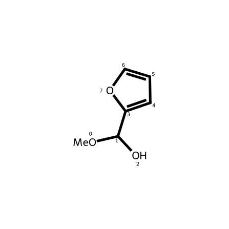 COC(O)c1ccco1